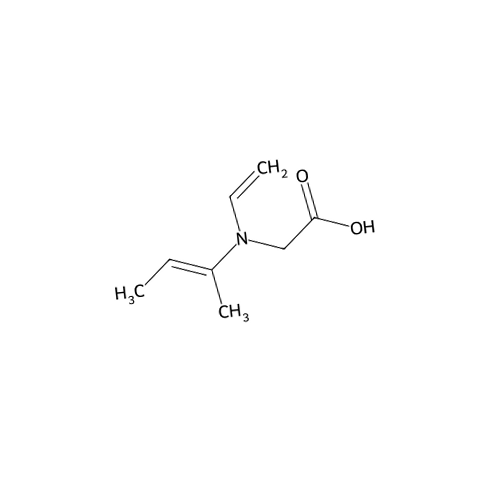 C=CN(CC(=O)O)/C(C)=C/C